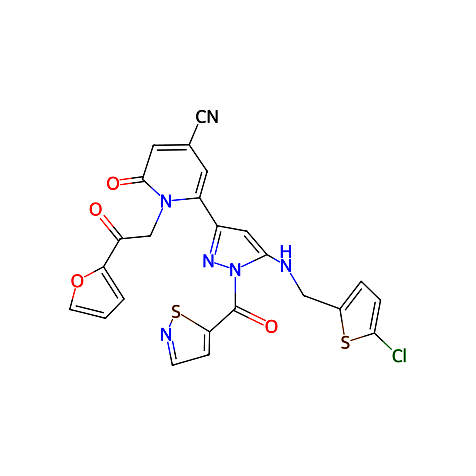 N#Cc1cc(-c2cc(NCc3ccc(Cl)s3)n(C(=O)c3ccns3)n2)n(CC(=O)c2ccco2)c(=O)c1